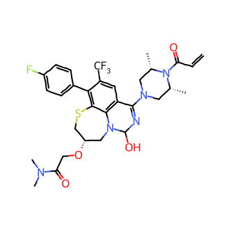 C=CC(=O)N1[C@H](C)CN(C2=NC(O)N3C[C@H](OCC(=O)N(C)C)CSc4c(-c5ccc(F)cc5)c(C(F)(F)F)cc2c43)C[C@@H]1C